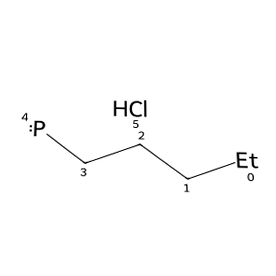 CCCCC[P].Cl